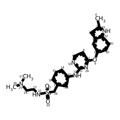 Cc1cc2cc(Oc3ccnc(Nc4cccc(CS(=O)(=O)NCCN(C)C)c4)n3)ccc2[nH]1